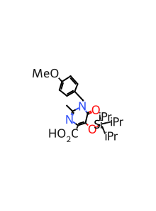 COc1ccc(Cn2c(C)nc(C(=O)O)c(O[Si](C(C)C)(C(C)C)C(C)C)c2=O)cc1